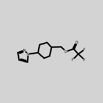 O=C(OCC1CCC(n2cccn2)CC1)C(F)(F)F